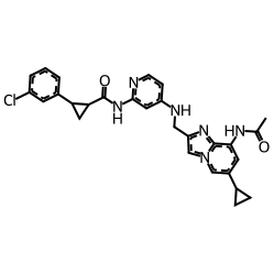 CC(=O)Nc1cc(C2CC2)cn2cc(CNc3ccnc(NC(=O)C4CC4c4cccc(Cl)c4)c3)nc12